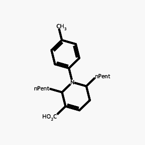 CCCCCC1CC=C(C(=O)O)C(CCCCC)N1c1ccc(C)cc1